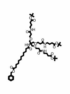 CC(C)(C)OC(=O)CCCNC(=O)CCOCC(COCCC(=O)NCCCC(=O)OC(C)(C)C)(COCCC(=O)NCCCC(=O)OC(C)(C)C)NC(=O)CCCCCCCCCCC(=O)OCc1ccccc1